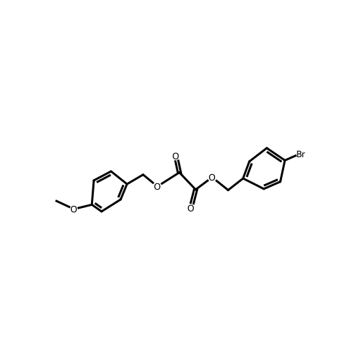 COc1ccc(COC(=O)C(=O)OCc2ccc(Br)cc2)cc1